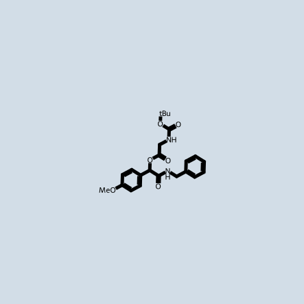 COc1ccc(C(OC(=O)CNC(=O)OC(C)(C)C)C(=O)NCc2ccccc2)cc1